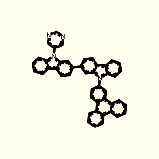 c1ccc2c(c1)c1ccccc1c1cc(-n3c4ccccc4c4ccc(-c5ccc6c7ccccc7n(-c7cncnc7)c6c5)cc43)ccc21